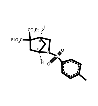 CCOC(=O)C1(C(=O)OCC)C[C@H]2C[C@@H]1CN2S(=O)(=O)c1ccc(C)cc1